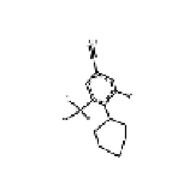 C#Cc1cc(Cl)c(C2CCCCC2)c(C(F)(F)F)c1